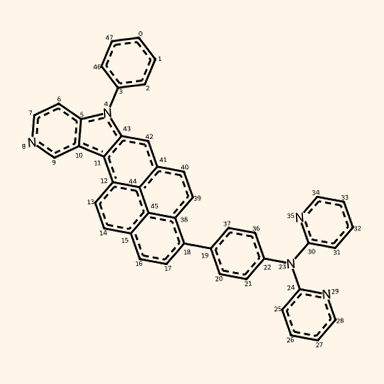 c1ccc(-n2c3ccncc3c3c4ccc5ccc(-c6ccc(N(c7ccccn7)c7ccccn7)cc6)c6ccc(cc32)c4c56)cc1